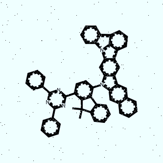 CC1(C)c2ccccc2-c2c(-n3c4cc5ccccc5cc4c4cc5c6cccc7c8ccccc8n(c5cc43)c76)ccc(-c3nc(-c4ccccc4)nc(-c4ccccc4)n3)c21